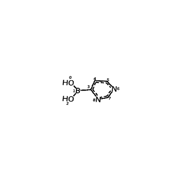 OB(O)c1ccncn1